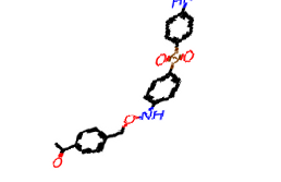 CNc1ccc(S(=O)(=O)c2ccc(NOCc3ccc(C(C)=O)cc3)cc2)cc1